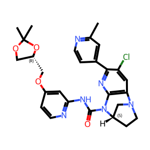 Cc1cc(-c2nc3c(cc2Cl)N2CC[C@@H](C2)N3C(=O)Nc2cc(OC[C@@H]3COC(C)(C)O3)ccn2)ccn1